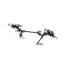 CCCCCCCCCCCCCCCCCCOC[C@H](COP(=O)(O)OC[C@H]1O[C@@](C#N)(c2ccc3c(N)ncnn23)[C@H](O)[C@@H]1OC(=O)C(C)C)OCc1ccc(C(CCC)CCCCCCCCCCCCCCOC[C@H](COP(=O)(O)OC[C@H]2O[C@@](C)(c3ccc4c(N)ncnn34)[C@H](O)[C@@H]2O)OCc2ccc(C(F)(F)F)cc2)cc1